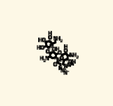 [N-]=[N+]=NCC(=O)N[C@@H]1CC(N)[C@@H](O[C@H]2OC(CN)[C@@H](O)[C@H](O)C2O)[C@H](O)C1O[C@H]1OC(CN=[N+]=[N-])[C@@H](O)C(N)[C@H]1O